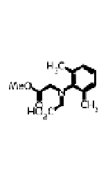 COC(=O)CN(CC(=O)O)c1c(C)cccc1C